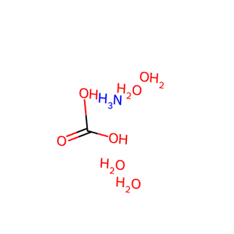 N.O.O.O.O.O=C(O)O